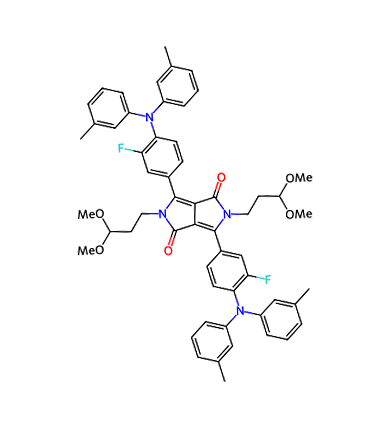 COC(CCN1C(=O)C2=C(c3ccc(N(c4cccc(C)c4)c4cccc(C)c4)c(F)c3)N(CCC(OC)OC)C(=O)C2=C1c1ccc(N(c2cccc(C)c2)c2cccc(C)c2)c(F)c1)OC